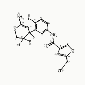 CC1(c2cc(NC(=O)c3coc(CCl)n3)ccc2F)N=C(N)OCC1(F)F